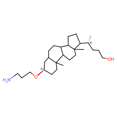 C[C@H](CCCO)C1CCC2C3CCC4C[C@H](OCCCN)CCC4(C)C3CCC21C